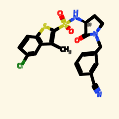 Cc1c(S(=O)(=O)N[C@H]2CCN(Cc3cccc(C#N)c3)C2=O)sc2ccc(Cl)cc12